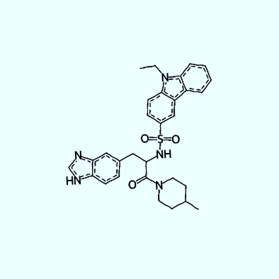 CCn1c2ccccc2c2cc(S(=O)(=O)NC(Cc3ccc4[nH]cnc4c3)C(=O)N3CCC(C)CC3)ccc21